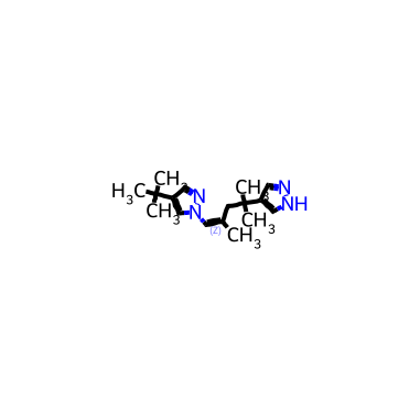 C/C(=C/n1cc(C(C)(C)C)cn1)CC(C)(C)c1cn[nH]c1